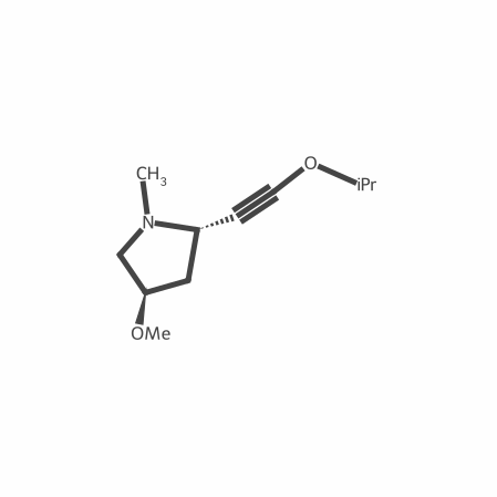 CO[C@@H]1C[C@@H](C#COC(C)C)N(C)C1